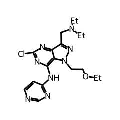 CCOCCn1nc(CN(CC)CC)c2nc(Cl)nc(Nc3ccncn3)c21